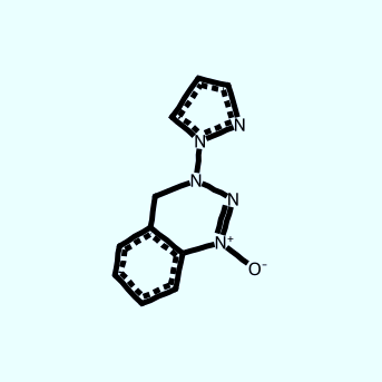 [O-][N+]1=NN(n2cccn2)Cc2ccccc21